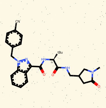 CN1CC(CNC(=O)[C@@H](NC(=O)c2nn(Cc3ccc(C#N)cc3)c3ccccc23)C(C)(C)C)CC1=O